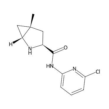 C[C@@]12C[C@@H](C(=O)Nc3cccc(Cl)n3)N[C@@H]1C2